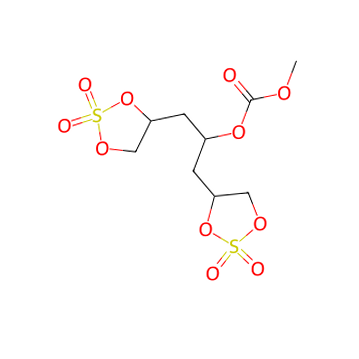 COC(=O)OC(CC1COS(=O)(=O)O1)CC1COS(=O)(=O)O1